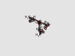 Cc1ccccc1OCC(CN1CC1C)OC(=O)NCCCCCCn1c(=O)n(CCCCCCNC(=O)OC(COc2ccccc2C)CN2CC2C)c(=O)n(CCCCCCNC(=O)OC(COc2ccccc2C)CN2CC2C)c1=O